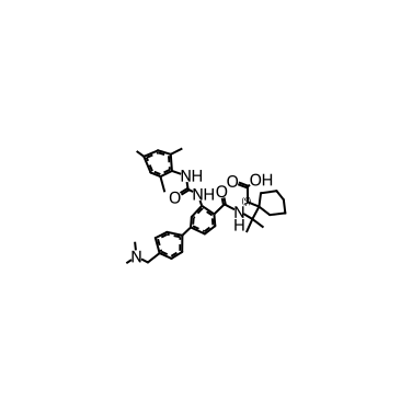 Cc1cc(C)c(NC(=O)Nc2cc(-c3ccc(CN(C)C)cc3)ccc2C(=O)N[C@H](C(=O)O)C2(C(C)(C)C)CCCCC2)c(C)c1